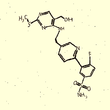 CSc1ncc(CO)c(NCc2ccc(-c3cc(S(N)(=O)=O)ccc3F)nc2)n1